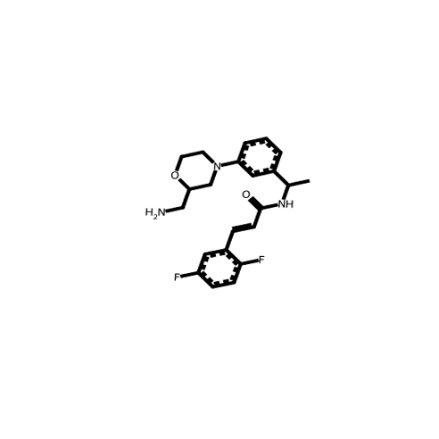 CC(NC(=O)C=Cc1cc(F)ccc1F)c1cccc(N2CCOC(CN)C2)c1